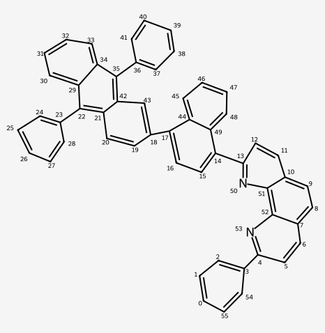 c1ccc(-c2ccc3ccc4ccc(-c5ccc(-c6ccc7c(-c8ccccc8)c8ccccc8c(-c8ccccc8)c7c6)c6ccccc56)nc4c3n2)cc1